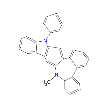 CN1c2ccccc2-c2ccccc2-c2cc3c(cc21)c1ccccc1n3-c1ccccc1